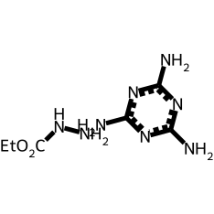 CCOC(=O)NN.Nc1nc(N)nc(N)n1